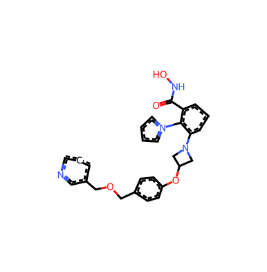 O=C(NO)c1cccc(N2CC(Oc3ccc(COCc4cccnc4)cc3)C2)c1-n1cccc1